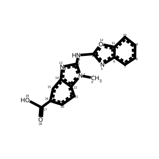 Cn1c(Nc2nc3ccccc3o2)nc2cc(C(=O)O)ccc21